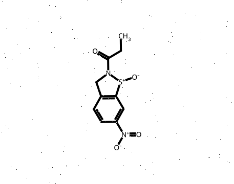 CCC(=O)N1Cc2ccc([N+](=O)[O-])cc2[S+]1[O-]